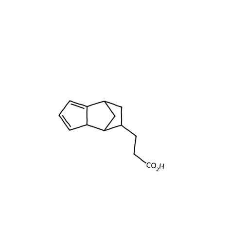 O=C(O)CCC1CC2CC1C1C=CC=C21